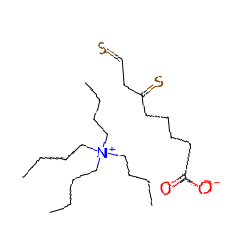 CCCC[N+](CCCC)(CCCC)CCCC.O=C([O-])CCCCC(=S)CC=S